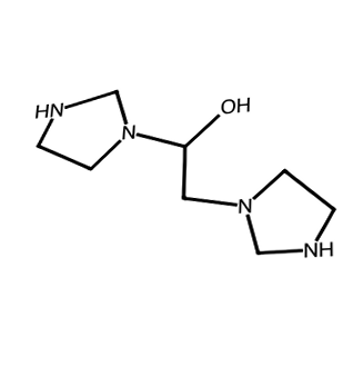 OC(CN1CCNC1)N1CCNC1